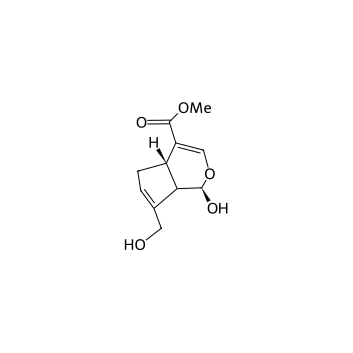 COC(=O)C1=CO[C@@H](O)C2C(CO)=CC[C@H]12